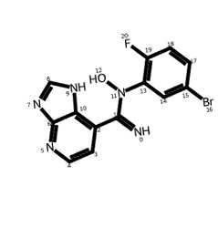 N=C(c1ccnc2nc[nH]c12)N(O)c1cc(Br)ccc1F